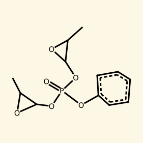 CC1OC1OP(=O)(Oc1ccccc1)OC1OC1C